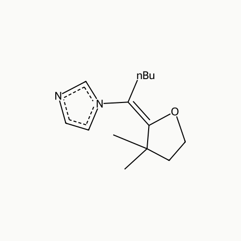 CCCCC(=C1OCCC1(C)C)n1ccnc1